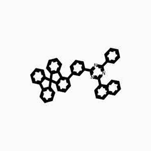 c1ccc(-c2nc(-c3cccc(-c4cccc5c4-c4ccccc4C54c5ccccc5-c5ccccc54)c3)nc(-c3cccc4ccccc34)n2)cc1